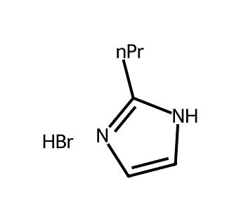 Br.CCCc1ncc[nH]1